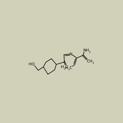 C=C(N)C(=C/C)/N=C\C(=C)C1CCC(CO)CC1